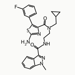 Cn1nc(C(=O)NCCN(CC2CC2)C(=O)c2nc(N)sc2-c2cccc(F)c2)c2ccccc21